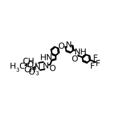 CC(C)(C)OC(=O)N1CCN(C(=O)c2cc3cc(Oc4ccc(NC(=O)c5ccc(C(F)(F)F)cc5)cn4)ccc3[nH]2)CC1